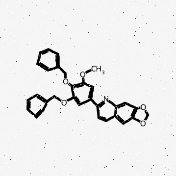 COc1cc(-c2ccc3cc4c(cc3n2)OCO4)cc(OCc2ccccc2)c1OCc1ccccc1